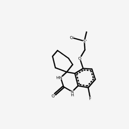 C[S+]([O-])COc1ccc(F)c2c1C1(CCCCC1)NC(=O)N2